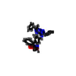 CCCCc1nn2c(C)c(-c3ccccc3)nc2n1Cc1ccc(-c2ccccc2NS(=O)(=O)C(F)(F)F)cc1